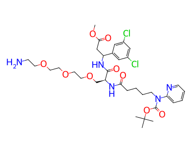 COC(=O)CC(NC(=O)[C@H](COCCOCCOCCN)NC(=O)CCCCN(C(=O)OC(C)(C)C)c1ccccn1)c1cc(Cl)cc(Cl)c1